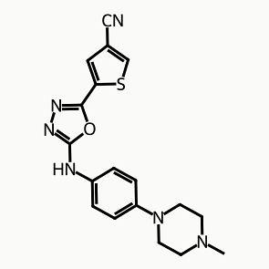 CN1CCN(c2ccc(Nc3nnc(-c4cc(C#N)cs4)o3)cc2)CC1